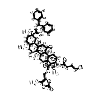 Cc1oc(=O)oc1COC(=O)[C@]1(C)[C@@H](NC(=O)CCCCl)CC[C@@]2(C)[C@H]1CC[C@]1(C)[C@@H]2C(=O)C=C2[C@@H]3C[C@@](C)(C(=O)OC(c4ccccc4)c4ccccc4)CC[C@]3(C)CC[C@]21C